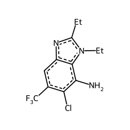 CCc1nc2cc(C(F)(F)F)c(Cl)c(N)c2n1CC